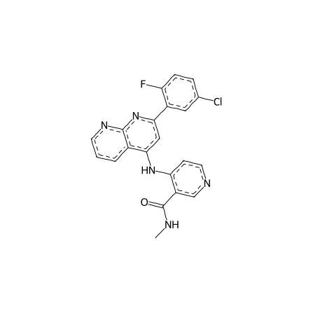 CNC(=O)c1cnccc1Nc1cc(-c2cc(Cl)ccc2F)nc2ncccc12